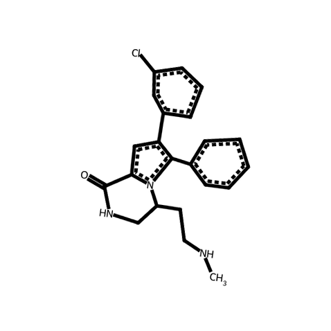 CNCCC1CNC(=O)c2cc(-c3cccc(Cl)c3)c(-c3ccccc3)n21